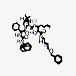 C=CCCC(NC(=O)[C@@H]1[C@@H]2[C@H](CN1C(=O)[C@@H](NC(=O)NC13CC4CC(CC(C4)C1)C3)C1CCCCC1)C2(C)C)C(=O)C(=O)NC/C=C/COCc1ccccc1